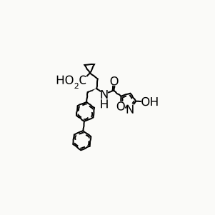 O=C(N[C@@H](Cc1ccc(-c2ccccc2)cc1)CC1(C(=O)O)CC1)c1cc(O)no1